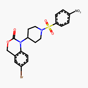 O=C1OCc2cc(Br)ccc2N1C1CCN(S(=O)(=O)c2ccc([N+](=O)[O-])cc2)CC1